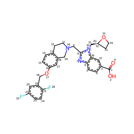 O=C(O)c1ccc2nc(CN3CCc4ccc(OCc5cc(F)ccc5F)cc4C3)n(C[C@@H]3CCO3)c2c1